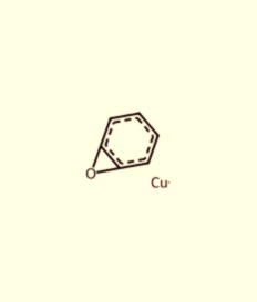 [Cu].c1ccc2c(c1)O2